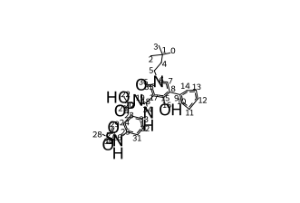 CC(C)(C)CCn1cc(-c2ccccc2)c(O)c(C2=NP(=O)(O)c3cc(NS(C)(=O)=O)ccc3N2)c1=O